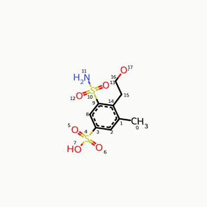 Cc1cc(S(=O)(=O)O)cc(S(N)(=O)=O)c1CC[O]